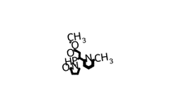 CCOC(=O)CC(PN1CCCC1=O)c1cccc(C)n1